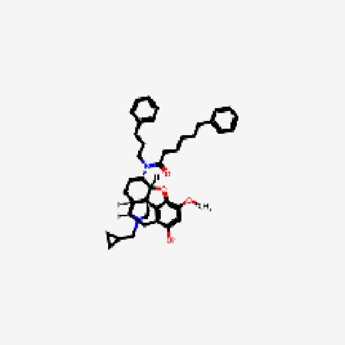 COc1cc(O)c2c3c1O[C@H]1[C@@H](N(CCCc4ccccc4)C(=O)CCCCCc4ccccc4)CC[C@H]4[C@@H](C2)N(CC2CC2)CC[C@@]341